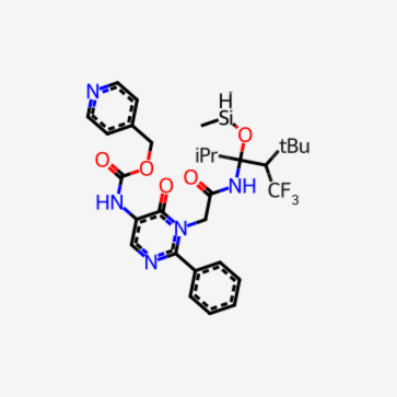 CC(C)C(NC(=O)Cn1c(-c2ccccc2)ncc(NC(=O)OCc2ccncc2)c1=O)(O[SiH](C)C)C(C(C)(C)C)C(F)(F)F